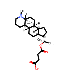 CC(OC(=O)CCC(=O)O)[C@H]1CC[C@H]2[C@@H]3CC[C@H]4N(C)CCC[C@]4(C)[C@H]3CC[C@]12C